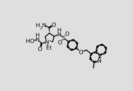 CC[N@@+]1(C(=O)NO)CC(NS(=O)(=O)c2ccc(OCc3cc(C)nc4ccccc34)cc2)[C@H](C(N)=O)C1